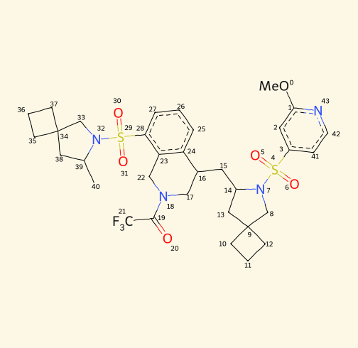 COc1cc(S(=O)(=O)N2CC3(CCC3)CC2CC2CN(C(=O)C(F)(F)F)Cc3c2cccc3S(=O)(=O)N2CC3(CCC3)CC2C)ccn1